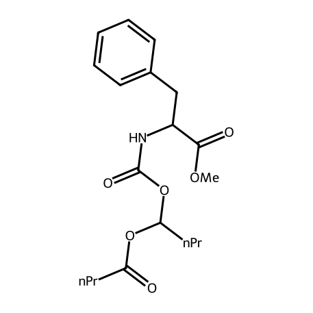 CCCC(=O)OC(CCC)OC(=O)NC(Cc1ccccc1)C(=O)OC